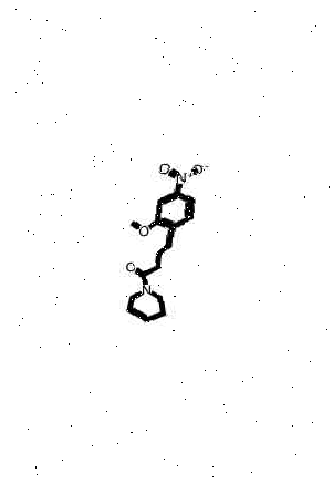 COc1cc([N+](=O)[O-])ccc1CCCC(=O)N1CC=CCC1